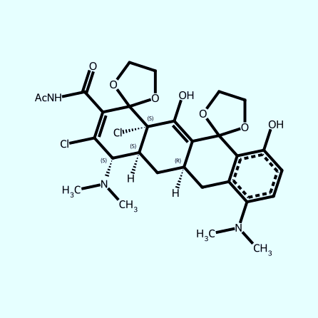 CC(=O)NC(=O)C1=C(Cl)[C@@H](N(C)C)[C@@H]2C[C@@H]3Cc4c(N(C)C)ccc(O)c4C4(OCCO4)C3=C(O)[C@]2(Cl)C12OCCO2